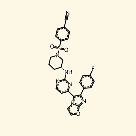 N#Cc1ccc(S(=O)(=O)N2CCC[C@@H](Nc3nccc(-c4c(-c5ccc(F)cc5)nc5occn45)n3)C2)cc1